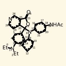 CCN(CC)c1ccc(C2(N(c3ccccc3)c3ccc(NC(C)=O)cc3)OC(=O)c3cnccc32)cc1